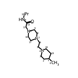 CC1CCN(CCN2CCN(CC(=O)NC(C)C)CC2)CC1